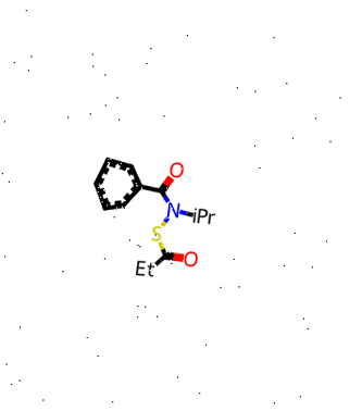 CCC(=O)SN(C(=O)c1ccccc1)C(C)C